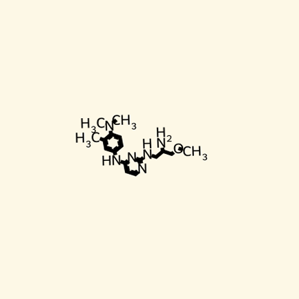 COCC(N)CNc1nccc(Nc2ccc(N(C)C)c(C)c2)n1